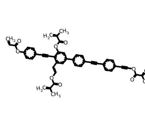 C=CC(=O)Oc1ccc(C#Cc2c(/C=C/OC(=O)C(=C)C)cc(-c3ccc(C#Cc4ccc(C#COC(=O)C(=C)C)cc4)cc3)cc2OC(=O)C(=C)C)cc1